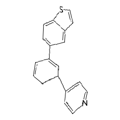 C1=CC(c2ccc3sccc3c2)=CC(c2ccncc2)C1